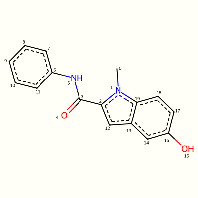 Cn1c(C(=O)Nc2ccccc2)cc2cc(O)ccc21